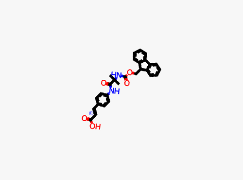 CC(C)(NC(=O)OCC1c2ccccc2-c2ccccc21)C(=O)Nc1ccc(/C=C/C(=O)O)cc1